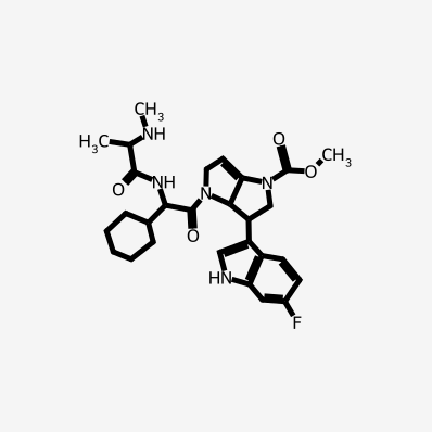 CNC(C)C(=O)NC(C(=O)N1CC=C2C1C(c1c[nH]c3cc(F)ccc13)CN2C(=O)OC)C1CCCCC1